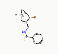 C[C@H](NC[C@H]1C[C@H]2CC2C1Br)c1ccccc1